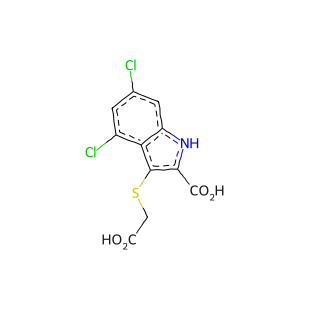 O=C(O)CSc1c(C(=O)O)[nH]c2cc(Cl)cc(Cl)c12